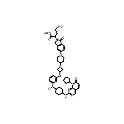 CNC(=O)C(CCC=O)N1Cc2cc(N3CCC(N4CC(Oc5cccc([S+]([O-])N6CCC(Nc7ncc8ccc(=O)n(C9CCCC9)c8n7)CC6)c5)C4)CC3)ccc2C1=O